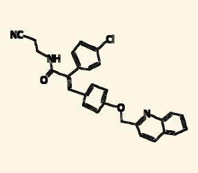 N#CCCNC(=O)C(=Cc1ccc(OCc2ccc3ccccc3n2)cc1)c1ccc(Cl)cc1